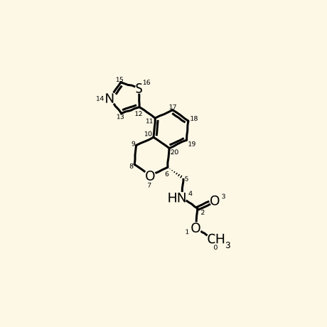 COC(=O)NC[C@@H]1OCCc2c(-c3cncs3)cccc21